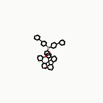 c1ccc(-c2ccc(N(c3ccc(-c4ccccc4)cc3)c3cccc(-c4cccc5c4C4(c6ccccc6-c6ccccc6-c6ccccc64)c4ccccc4-5)c3)cc2)cc1